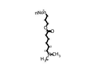 CCCCCCCCCCCCOC(=O)CCCCCN(C)C